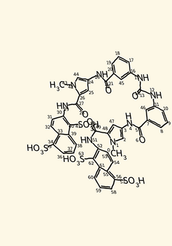 Cn1cc(NC(=O)c2cccc(NC(=O)Nc3cccc(C(=O)Nc4cc(C(=O)Nc5ccc6c(S(=O)(=O)O)cccc6c5S(=O)(=O)O)n(C)c4)c3)c2)cc1C(=O)Nc1ccc2c(S(=O)(=O)O)cccc2c1S(=O)(=O)O